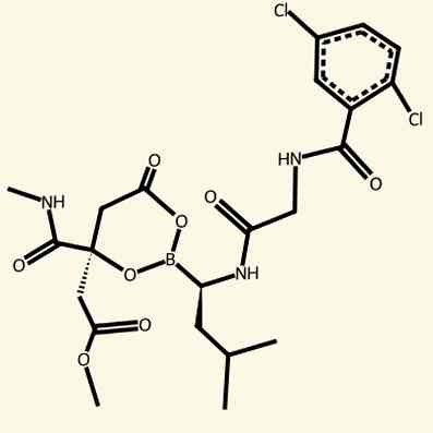 CNC(=O)[C@@]1(CC(=O)OC)CC(=O)OB([C@H](CC(C)C)NC(=O)CNC(=O)c2cc(Cl)ccc2Cl)O1